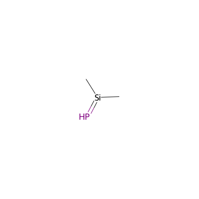 C[Si](C)=P